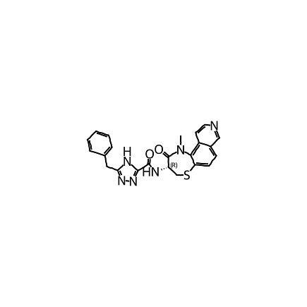 CN1C(=O)[C@@H](NC(=O)c2nnc(Cc3ccccc3)[nH]2)CSc2ccc3cnccc3c21